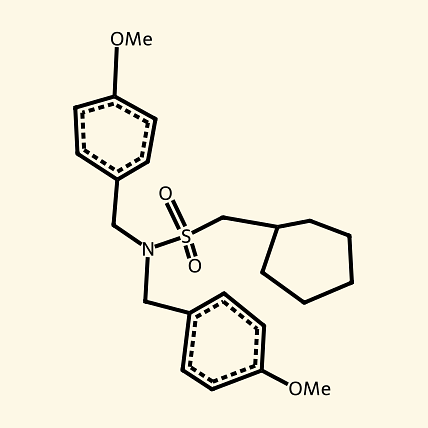 COc1ccc(CN(Cc2ccc(OC)cc2)S(=O)(=O)CC2CCCCC2)cc1